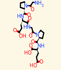 NCC(=O)N1CCC[C@H]1C(=O)N[C@@H](CCC(=O)O)C(=O)NCC(=O)N1CCC[C@H]1C(=O)N[C@@H](CCC(=O)O)C(=O)O